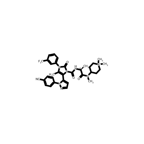 Cc1c(-c2ccnn2-c2ccc(C#N)cc2)n(C(=O)N[C@@H](C)C(=O)N(C)C2CC[N+](C)(C)CC2)c(=O)n1-c1cccc(C(F)(F)F)c1